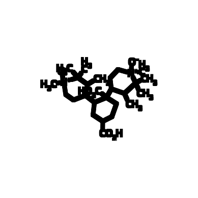 CC1C(C2CC(C(=O)O)CCC2(C(=O)O)C2CC[N+](C)([O-])C(C)(C)C2C)CC[N+](C)([O-])C1(C)C